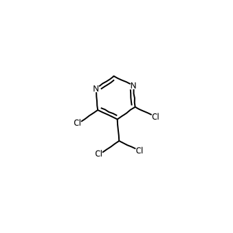 Clc1ncnc(Cl)c1C(Cl)Cl